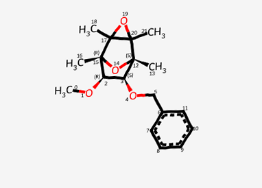 CO[C@@H]1[C@H](OCc2ccccc2)[C@]2(C)O[C@@]1(C)C1(C)OC12C